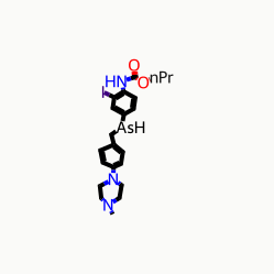 CCCOC(=O)Nc1ccc([AsH]Cc2ccc(N3CCN(C)CC3)cc2)cc1I